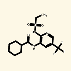 CCS(=O)(=O)Nc1ncc(C(F)(F)F)cc1NC(=O)C1CCCCC1